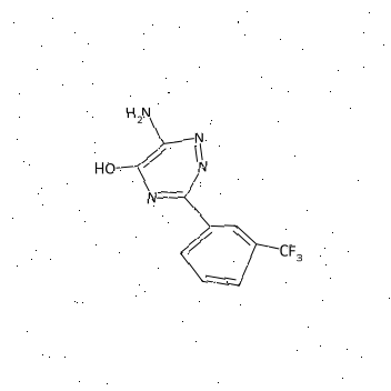 Nc1nnc(-c2cccc(C(F)(F)F)c2)nc1O